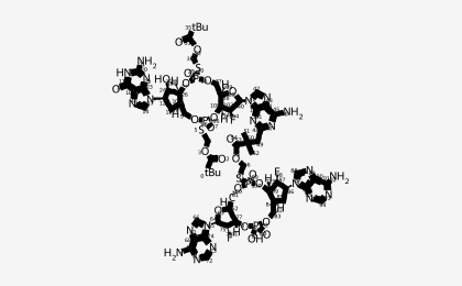 CC(C)(C)C(=O)OCSP1(=O)OC[C@H]2C[C@@H](n3cnc4c(=O)[nH]c(N)nc43)[C@@H](O)[C@H]2OP(=O)(SCOC(=O)C(C)(C)C)OC[C@H]2O[C@@H](n3cnc4c(N)nc(CC(C)(C)C(=O)OCSP5(=O)OC[C@H]6O[C@@H](n7cnc8c(N)ncnc87)[C@@H](F)[C@H]6OP(=O)(O)OC[C@H]6C[C@@H](n7cnc8c(N)ncnc87)[C@@H](F)[C@H]6O5)nc43)[C@@H](F)[C@H]2O1